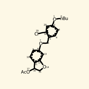 CCCCOc1ccc(COc2ccc3c(c2)OCC3OC(C)=O)c(Cl)c1